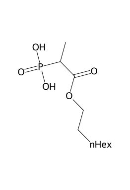 CCCCCCCCOC(=O)C(C)P(=O)(O)O